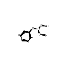 IOP(OI)Oc1ccccc1